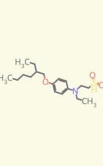 CCCCC(CC)COc1ccc(N(CC)CC[SH](=O)=O)cc1